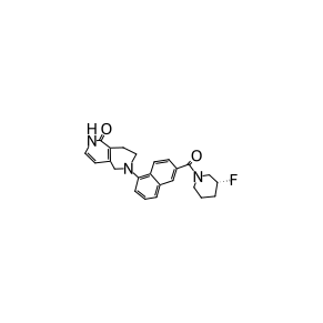 O=C(c1ccc2c(N3CCc4c(cc[nH]c4=O)C3)cccc2c1)N1CCC[C@@H](F)C1